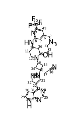 CN(CCO)Cc1cc(NC2CCN([C@H]3C[C@@](CC#N)(n4cc(-c5ncnc6[nH]ccc56)cn4)C3)CC2)nc(C(F)(F)F)c1